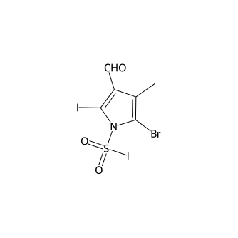 Cc1c(C=O)c(I)n(S(=O)(=O)I)c1Br